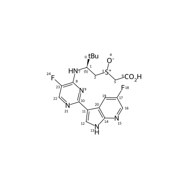 CC(C)(C)[C@@H](C[S+]([O-])CC(=O)O)Nc1nc(-c2c[nH]c3ncc(F)cc23)ncc1F